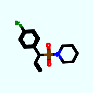 C=CC(c1ccc(Br)cc1)S(=O)(=O)N1CCCCC1